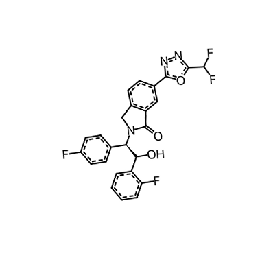 O=C1c2cc(-c3nnc(C(F)F)o3)ccc2CN1[C@H](c1ccc(F)cc1)C(O)c1ccccc1F